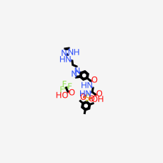 Cc1cc(C)c(S(=O)(=O)NC(CNC(=O)c2ccc3c(cnn3CCCNc3ncc[nH]3)c2)C(=O)O)c(C)c1.O=C(O)C(F)(F)F